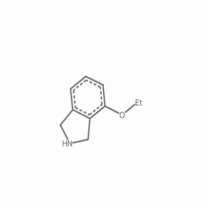 CCOc1cccc2c1CNC2